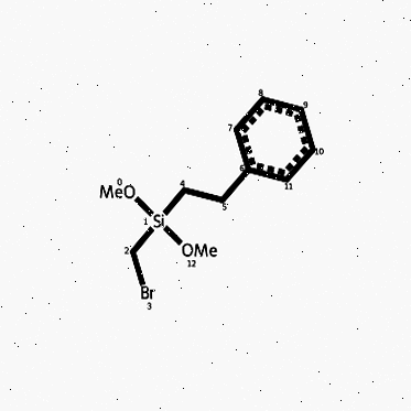 CO[Si](CBr)(CCc1ccccc1)OC